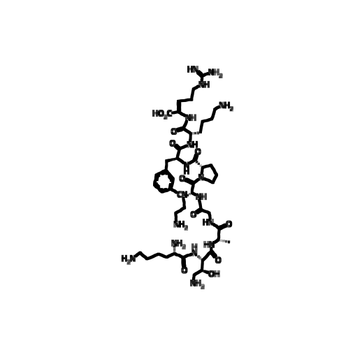 C[C@H](NC(=O)[C@@H](NC(=O)[C@@H](N)CCCCN)[C@@H](O)CN)C(=O)NCC(=O)N[C@H](CCCN)C(=O)N1CCC[C@H]1C(=O)N[C@@H](Cc1cccc(C#N)c1)C(=O)N[C@@H](CCCCN)C(=O)N/C(=C\CCNC(=N)N)C(=O)O